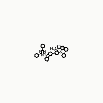 CC1(C)c2cc(-c3ccc4c(c3)c3ccccc3n4-c3nc(-c4ccccc4)nc(-c4ccccc4)n3)ccc2N2c3ccccc3-c3cccc4ccc1c2c34